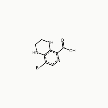 O=C(O)c1ncc(Br)c2c1NCCN2